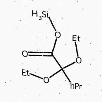 CCCC(OCC)(OCC)C(=O)O[SiH3]